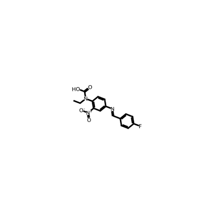 CCN(C(=O)O)c1ccc(N=Cc2ccc(F)cc2)cc1[N+](=O)[O-]